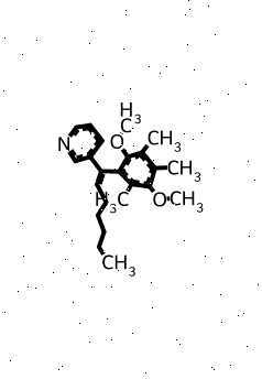 CCCCCC=C(c1cccnc1)c1c(C)c(OC)c(C)c(C)c1OC